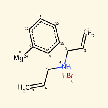 Br.C=CCNCC=C.[Mg+2][c]1ccccc1